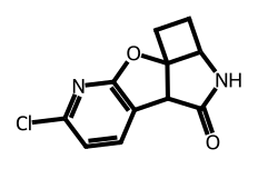 O=C1NC2CCC23Oc2nc(Cl)ccc2C13